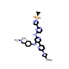 COC1CN(c2ccc(-c3cnc(Nc4ccnc(-c5cnn(S(=O)(=O)C6CC6)c5)n4)cc3NC3CCC(CN(C)C)CC3)nc2)C1